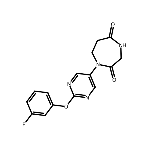 O=C1CCN(c2cnc(Oc3cccc(F)c3)nc2)C(=O)CN1